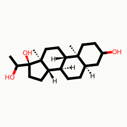 CC(O)[C@@]1(O)CC[C@H]2[C@@H]3CC[C@@H]4CC(O)CC[C@]4(C)[C@H]3CC[C@@]21C